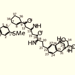 CSc1ccccc1[C@H]1C=C(C(=O)CC(=N)CC(=O)C(=N)CCc2ccc3c(c2)[C@H]2C[C@H](C3)[C@H](O)CO2)CCC1